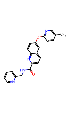 O=C(NCc1ccccn1)c1ccc2cc(Oc3ccc(C(F)(F)F)cn3)ccc2n1